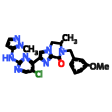 COc1cccc(CN2C(=O)c3nc(-c4nc(Nc5ccnn5C)ncc4Cl)cn3CC2C)c1